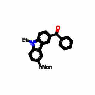 CCCCCCCCCc1ccc2c(c1)c1cc(C(=O)c3ccccc3)ccc1n2CC